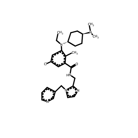 CCN(c1cc(Cl)cc(C(=O)NCc2nccn2Cc2cccnc2)c1C)[C@H]1CC[C@H](N(C)C)CC1